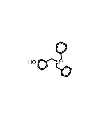 [OH-].c1ccc([CH2][Sn+]([CH2]c2ccccc2)[CH2]c2ccccc2)cc1